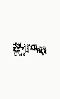 COc1ccc2[nH]cc(CCNCC3CCN(c4nc5ccccc5s4)CC3)c2c1